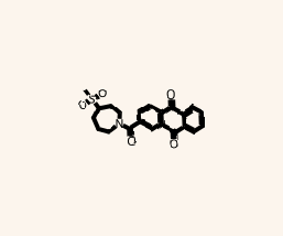 CS(=O)(=O)C1CCCN(C(=O)c2ccc3c(c2)C(=O)c2ccccc2C3=O)CC1